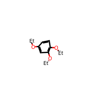 CCOc1[c]cc(OCC)c(OCC)c1